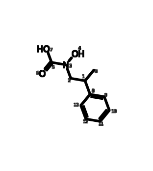 CC(CN(O)C(=O)O)c1ccccc1